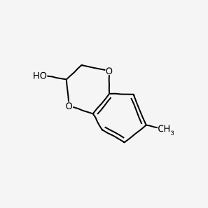 Cc1ccc2c(c1)OCC(O)O2